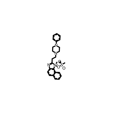 C[N+]1(OS(C)(=O)=O)C(CCN2CCN(c3ccccc3)CC2)=Nc2ccc3ccccc3c21